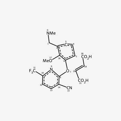 CNCc1cccc(Oc2nc(C(F)(F)F)ccc2C#N)c1OC.O=C(O)/C=C/C(=O)O